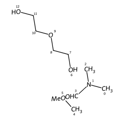 CN(C)C=O.COC.OCCOCCO